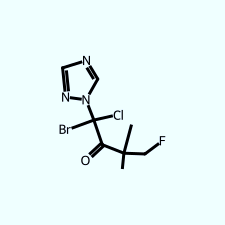 CC(C)(CF)C(=O)C(Cl)(Br)n1cncn1